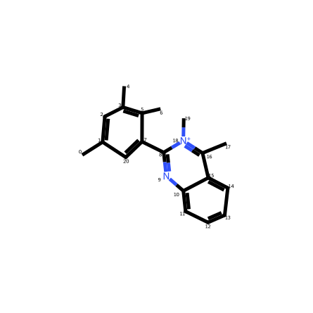 Cc1cc(C)c(C)c(-c2nc3ccccc3c(C)[n+]2C)c1